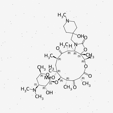 CO[C@]1(C)C[C@@H](C)C(=O)[C@H](C)[C@H]2N(CC3(O)CCN(C)CC3)C(=O)O[C@]2(C)[C@@H](I)OC(=O)[C@H](C)C(=O)[C@H](C)[C@H]1O[C@@H]1O[C@H](C)C[C@H](N(C)C)[C@H]1O